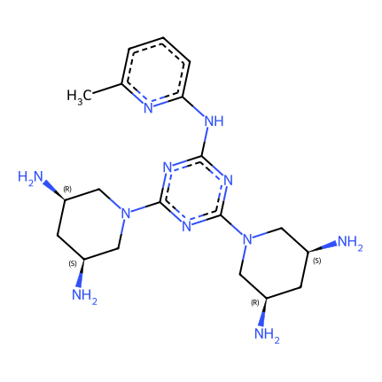 Cc1cccc(Nc2nc(N3C[C@H](N)C[C@H](N)C3)nc(N3C[C@H](N)C[C@H](N)C3)n2)n1